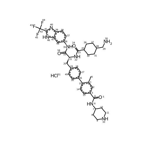 Cc1cc(C(=O)NC2CCNCC2)ccc1-c1ccc(C[C@H](NC(=O)C2CCC(CN)CC2)C(=O)Nc2ccc3nc(C(F)(F)F)[nH]c3c2)cc1.Cl